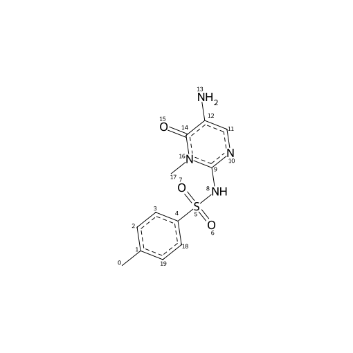 Cc1ccc(S(=O)(=O)Nc2ncc(N)c(=O)n2C)cc1